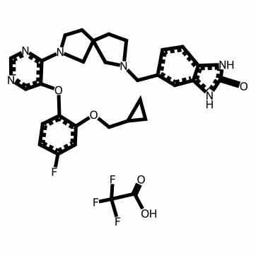 O=C(O)C(F)(F)F.O=c1[nH]c2ccc(CN3CCC4(CCN(c5ncncc5Oc5ccc(F)cc5OCC5CC5)C4)C3)cc2[nH]1